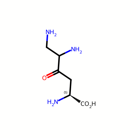 NCC(N)C(=O)C[C@H](N)C(=O)O